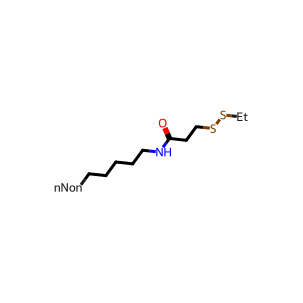 CCCCCCCCCCCCCCNC(=O)CCSSCC